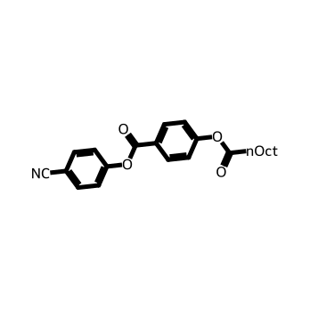 CCCCCCCCC(=O)Oc1ccc(C(=O)Oc2ccc(C#N)cc2)cc1